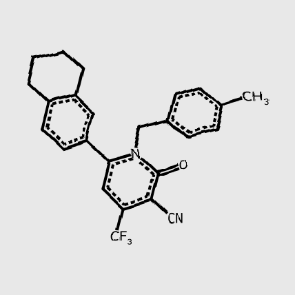 Cc1ccc(Cn2c(-c3ccc4c(c3)CCCC4)cc(C(F)(F)F)c(C#N)c2=O)cc1